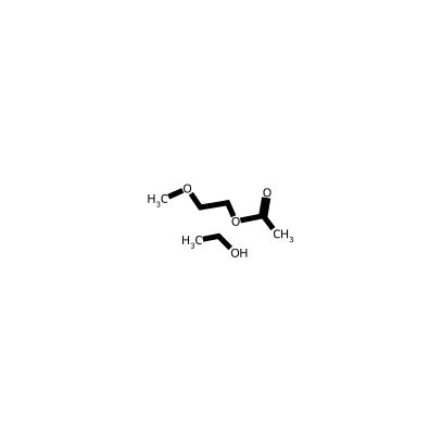 CCO.COCCOC(C)=O